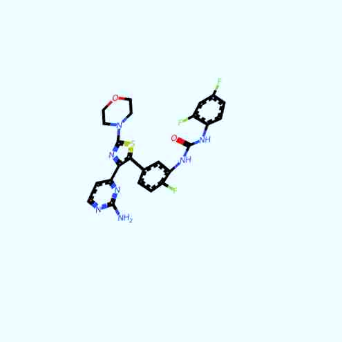 Nc1nccc(-c2nc(N3CCOCC3)sc2-c2ccc(F)c(NC(=O)Nc3ccc(F)cc3F)c2)n1